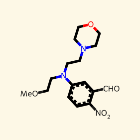 COCCN(CCN1CCOCC1)c1ccc([N+](=O)[O-])c(C=O)c1